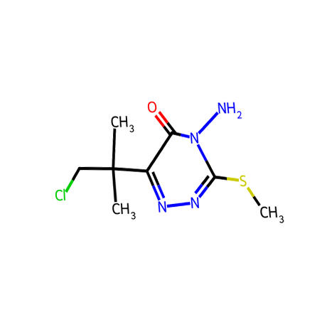 CSc1nnc(C(C)(C)CCl)c(=O)n1N